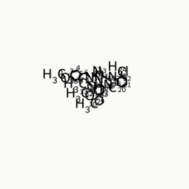 COc1ccc(CN(C(C)=O)c2ncc3c(Nc4c(C)cccc4Cl)nc4cc(OC)c(OC)cc4n23)cc1